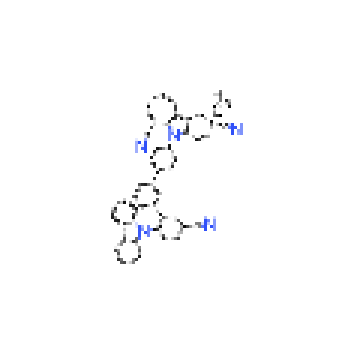 CC1(C#N)C=Cc2c(c3c(n2-c2ccc(-c4cccc(-c5cc(C#N)ccc5-n5c6ccccc6c6ccccc65)c4)cc2)C(C#N)=CCC=C3)C1